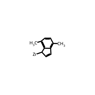 Cc1ccc(C)c2c1C=C[CH]2[Zr]